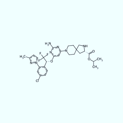 Cc1ccn(-c2cc(Cl)ccc2[C@@H](Oc2cc(N3CCC4(CC3)CN[C@H](C(=O)OC(C)C)C4)nc(N)n2)C(F)(F)F)n1